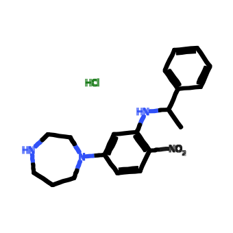 CC(Nc1cc(N2CCCNCC2)ccc1[N+](=O)[O-])c1ccccc1.Cl